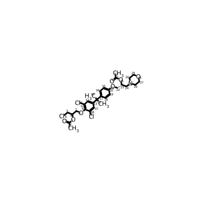 CC(=O)OC(CCl)COc1c(Cl)cc(C(C)(C)c2ccc(OC[C@@H](CN3CCOCC3)OC(C)=O)cc2)cc1Cl